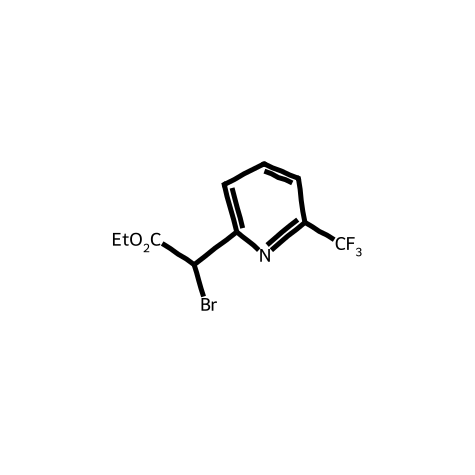 CCOC(=O)C(Br)c1cccc(C(F)(F)F)n1